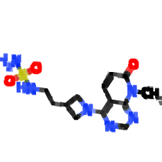 Cn1c(=O)ccc2c(N3CC(CCNS(N)(=O)=O)C3)ncnc21